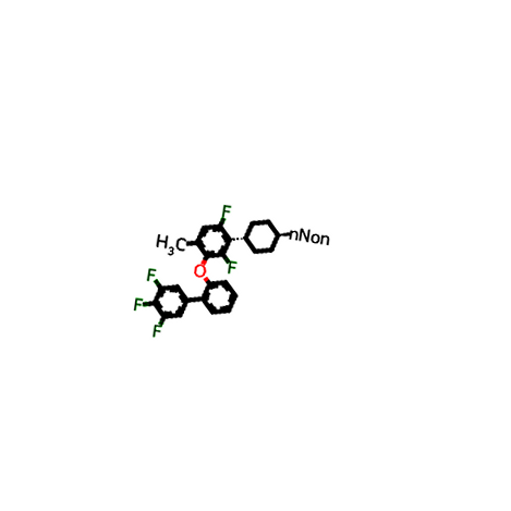 CCCCCCCCC[C@H]1CC[C@H](c2c(F)cc(C)c(Oc3ccccc3-c3cc(F)c(F)c(F)c3)c2F)CC1